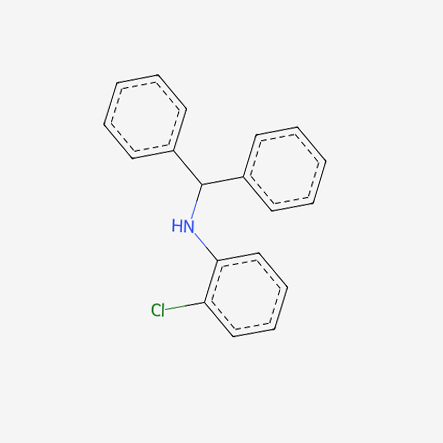 Clc1ccccc1NC(c1ccccc1)c1ccccc1